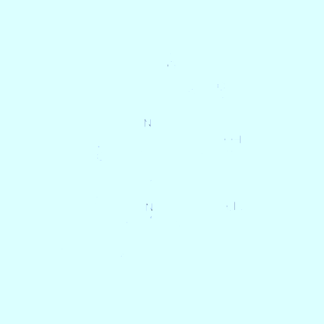 CCOC(=O)c1nc(Cl)c2c(c(Cl)cn2-c2ccccc2)c1O